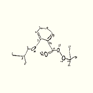 CC(C)COc1ccccc1C(=O)OOC(C)(C)C